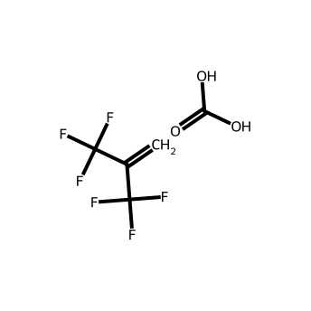 C=C(C(F)(F)F)C(F)(F)F.O=C(O)O